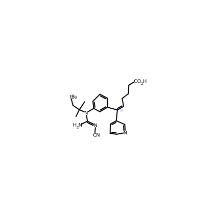 CC(C)(C)CC(C)(C)N(C(N)=NC#N)c1cccc(/C(=C\CCCC(=O)O)c2cccnc2)c1